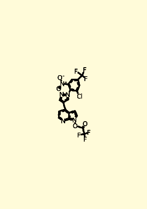 O=C(On1ccc2c(-c3cnn(-c4c(Cl)cc(C(F)(F)F)cc4[N+](=O)[O-])c3)ccnc21)C(F)(F)F